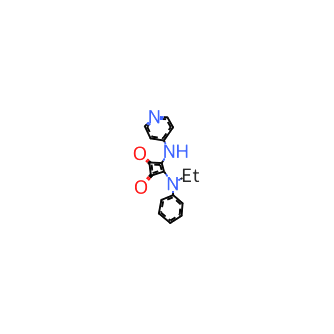 CCN(c1ccccc1)c1c(Nc2ccncc2)c(=O)c1=O